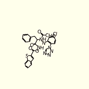 O=CC(=O)N(Nc1cc(Cl)ccc1-n1cnnn1)C(Cc1ccccc1)C(=O)NOC(=O)c1cc2ccccc2s1